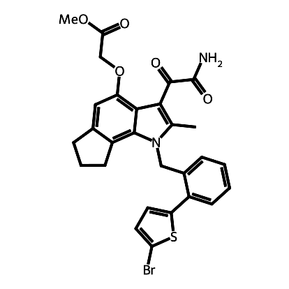 COC(=O)COc1cc2c(c3c1c(C(=O)C(N)=O)c(C)n3Cc1ccccc1-c1ccc(Br)s1)CCC2